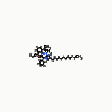 CCCCCCCCCC/C=C/c1cnn(C(C(=O)Nc2c(C(C)C)cccc2C(C)C)c2ccccc2)c1